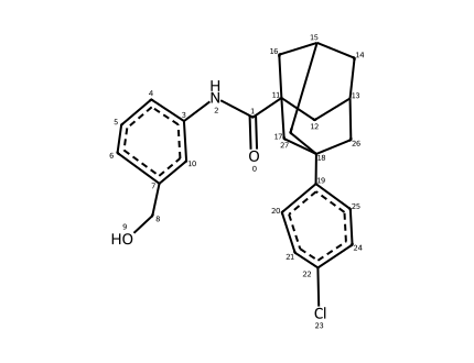 O=C(Nc1cccc(CO)c1)C12CC3CC(C1)CC(c1ccc(Cl)cc1)(C3)C2